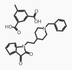 Cc1cc(C(=O)O)cc(C(=O)O)c1.O=C1C(=O)N(CCC2CCN(Cc3ccccc3)CC2)c2ccccc21